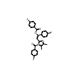 Cc1nc(C=C(OC(=O)c2ccc(F)cc2)c2ccc(F)cc2)n(C(=O)c2ccc(F)cc2)c1C